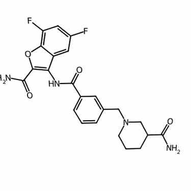 NC(=O)c1oc2c(F)cc(F)cc2c1NC(=O)c1cccc(CN2CCCC(C(N)=O)C2)c1